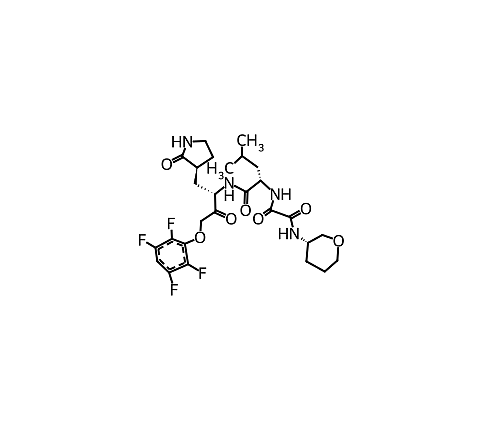 CC(C)C[C@H](NC(=O)C(=O)N[C@H]1CCCOC1)C(=O)N[C@@H](C[C@@H]1CCNC1=O)C(=O)COc1c(F)c(F)cc(F)c1F